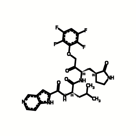 CC(C)C[C@H](NC(=O)c1cc2cnccc2[nH]1)C(=O)N[C@@H](C[C@@H]1CCNC1=O)C(=O)COc1c(F)c(F)cc(F)c1F